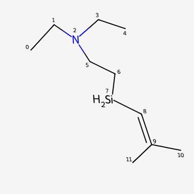 CCN(CC)CC[SiH2]C=C(C)C